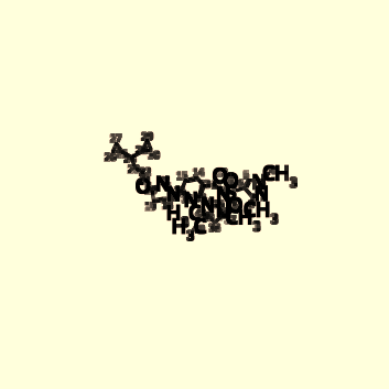 Cc1nn(C)cc1S(=O)(=O)NC(=O)c1ccc(-n2ccc(OCCC(C3CC3)C3CC3)n2)nc1N1C[C@@H](C)CC1(C)C